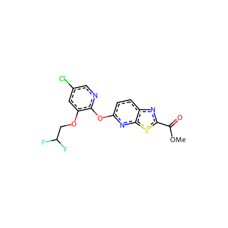 COC(=O)c1nc2ccc(Oc3ncc(Cl)cc3OCC(F)F)nc2s1